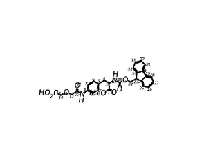 COC(=O)C(Cc1ccc(NC(=O)COCC(=O)O)cc1)NC(=O)OCC1c2ccccc2-c2ccccc21